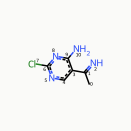 CC(=N)c1cnc(Cl)nc1N